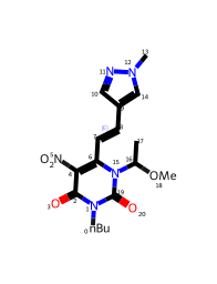 CCCCn1c(=O)c([N+](=O)[O-])c(/C=C/c2cnn(C)c2)n(C(C)OC)c1=O